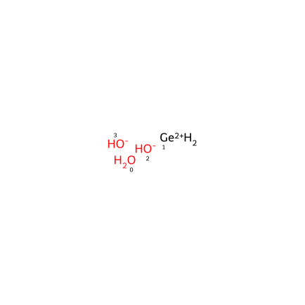 O.[GeH2+2].[OH-].[OH-]